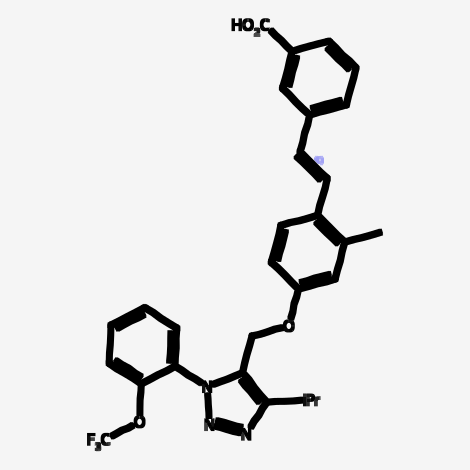 Cc1cc(OCc2c(C(C)C)nnn2-c2ccccc2OC(F)(F)F)ccc1/C=C/c1cccc(C(=O)O)c1